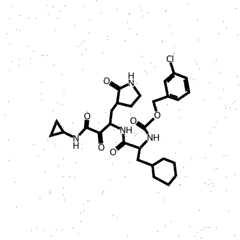 O=C(NC(CC1CCCCC1)C(=O)NC(CC1CCNC1=O)C(=O)C(=O)NC1CC1)OCc1cccc(Cl)c1